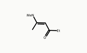 CCC(=O)C=C(C)NC